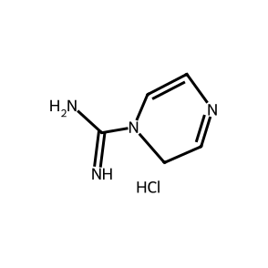 Cl.N=C(N)N1C=CN=CC1